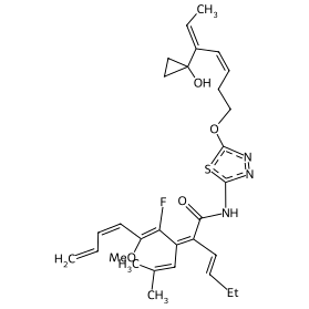 C=C\C=C/C(OC)=C(F)/C(C=C(C)C)=C(/C=C/CC)C(=O)Nc1nnc(OCC/C=C\C(=C/C)C2(O)CC2)s1